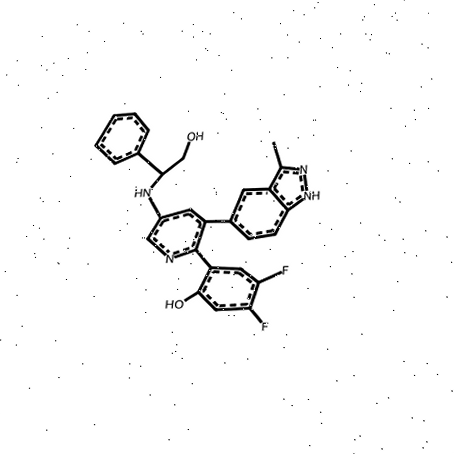 Cc1n[nH]c2ccc(-c3cc(NC(CO)c4ccccc4)cnc3-c3cc(F)c(F)cc3O)cc12